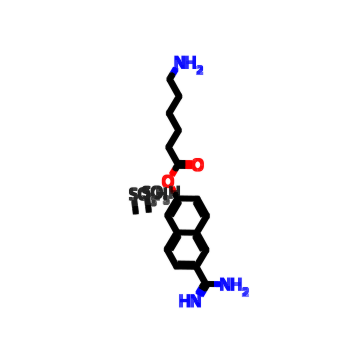 CS(=O)(=O)O.CS(=O)(=O)O.N=C(N)c1ccc2cc(OC(=O)CCCCCN)ccc2c1